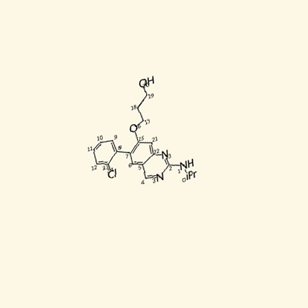 CC(C)Nc1ncc2cc(-c3ccccc3Cl)c(OCCCO)cc2n1